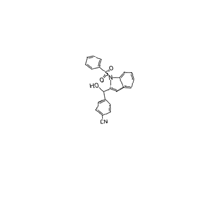 N#Cc1ccc(C(O)c2cc3ccccc3n2S(=O)(=O)c2ccccc2)cc1